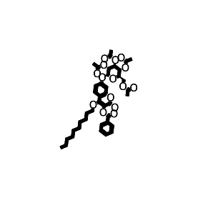 CCCCCCCCCCOc1c(OC(=O)c2ccccc2)c(=O)oc2cc(O[C@@H]3O[C@H](COC(C)=O)[C@@H](OC(C)=O)[C@H](OC(C)=O)[C@H]3OC(C)=O)ccc12